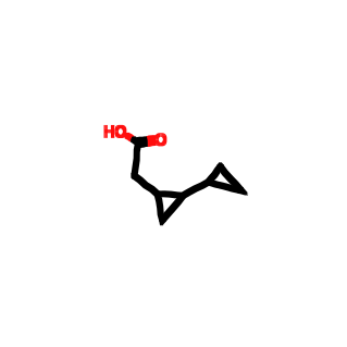 O=C(O)CC1CC1C1CC1